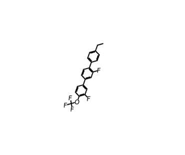 CCc1ccc(-c2ccc(-c3ccc(OC(F)(F)F)c(F)c3)cc2F)cc1